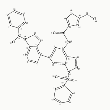 O=C(Nc1cc(-c2ccnc3c2ccn3[S+]([O-])c2ccccc2)cc2c1cnn2S(=O)(=O)c1ccccc1)c1csc(CCl)n1